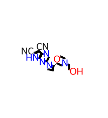 N#Cc1[nH]c2nc(N3CCC3[C@H]3CN(CCO)CCO3)cnc2c1C#N